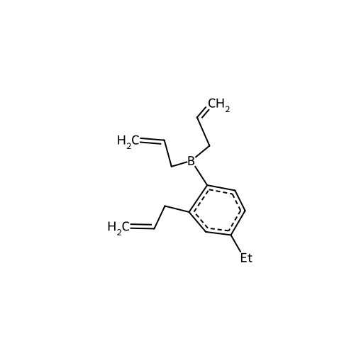 C=CCB(CC=C)c1ccc(CC)cc1CC=C